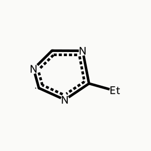 CCc1n[c]ncn1